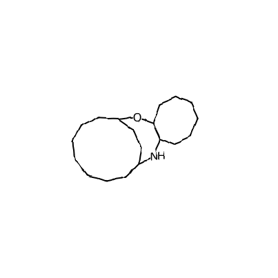 C1CCCC2CCC(CCC1)OC1CCCCCCC1N2